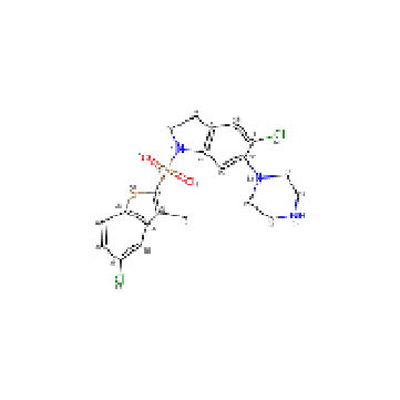 Cc1c(S(=O)(=O)N2CCc3cc(Cl)c(N4CCNCC4)cc32)sc2ccc(Cl)cc12